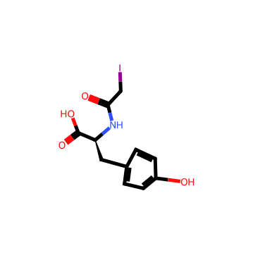 O=C(CI)N[C@@H](Cc1ccc(O)cc1)C(=O)O